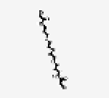 O=C(CBr)NCCCOCCNCCOCCCNC(=O)CBr